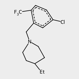 CCC1CCN(Cc2cc(Cl)ccc2C(F)(F)F)CC1